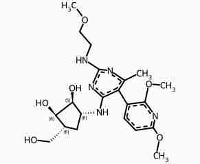 COCCNc1nc(C)c(-c2ccc(OC)nc2OC)c(N[C@@H]2C[C@H](CO)[C@@H](O)[C@H]2O)n1